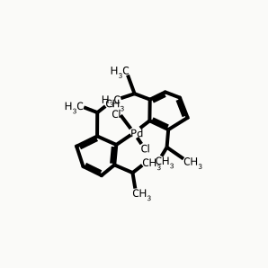 CC(C)c1cccc(C(C)C)[c]1[Pd]([Cl])([Cl])[c]1c(C(C)C)cccc1C(C)C